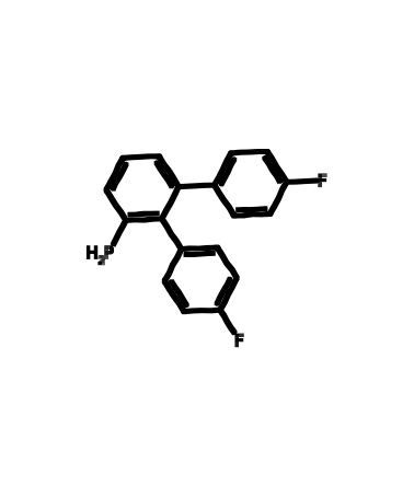 Fc1ccc(-c2cccc(P)c2-c2ccc(F)cc2)cc1